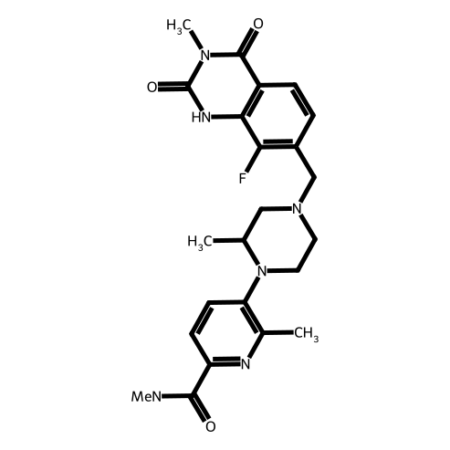 CNC(=O)c1ccc(N2CCN(Cc3ccc4c(=O)n(C)c(=O)[nH]c4c3F)CC2C)c(C)n1